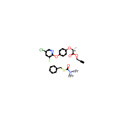 C#CCOC(=O)[C@@H](C)Oc1ccc(Oc2ncc(Cl)cc2F)cc1.CCCN(CCC)C(=O)SCc1ccccc1